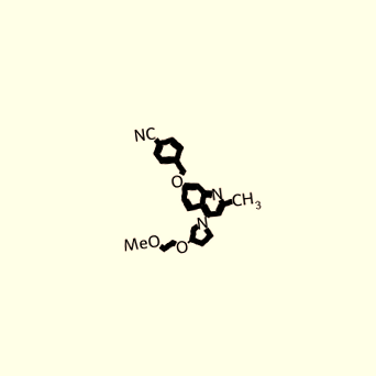 COCCO[C@H]1CCN(c2cc(C)nc3cc(OCc4ccc(C#N)cc4)ccc23)C1